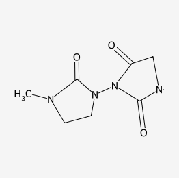 CN1CCN(N2C(=O)C[N]C2=O)C1=O